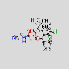 CC(C)(C)CN1C(=O)[C@@H](CC(=O)NCC#N)O[C@H](c2ccccc2Cl)c2cc(Cl)ccc21